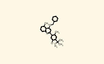 Cc1cc(C(C)(C)C)c(Cl)cc1-c1cc(OCc2ccccc2)c2c(C)cccc2n1